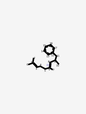 CC(C)=CCC/C(C)=C/C(C)Cc1ccccc1